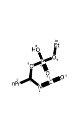 CCCC(N=C=O)OP(=O)(O)OCC